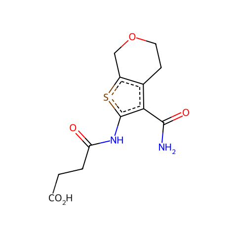 NC(=O)c1c(NC(=O)CCC(=O)O)sc2c1CCOC2